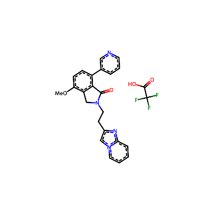 COc1ccc(-c2cccnc2)c2c1CN(CCc1cn3ccccc3n1)C2=O.O=C(O)C(F)(F)F